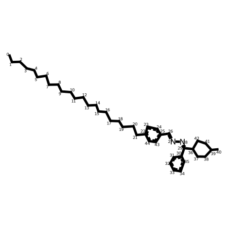 CCCCCCCCCCCCCCCCCCCCCCc1ccc(C=NN=C(c2ccccc2)C2CCC(C)CC2)cc1